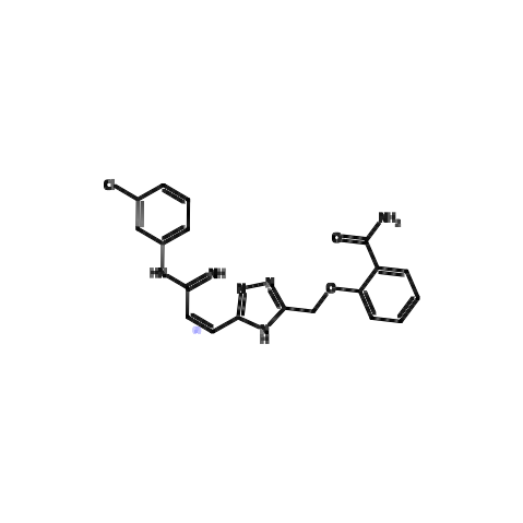 N=C(/C=C\c1nnc(COc2ccccc2C(N)=O)[nH]1)Nc1cccc(Cl)c1